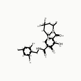 Cc1cc(F)c(CNC(=O)c2cn3c(c(O)c2=O)C(=O)N2CC3CC(F)(F)CC2C)c(F)c1